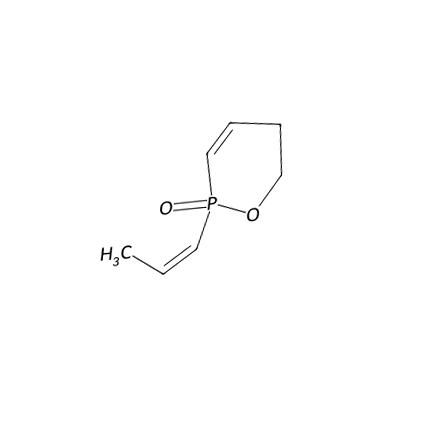 C/C=C\P1(=O)C=CCCO1